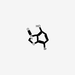 O=[PH]1COc2c(Br)ccc(O)c21